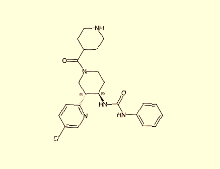 O=C(Nc1ccccc1)N[C@@H]1CCN(C(=O)C2CCNCC2)C[C@H]1c1ccc(Cl)cn1